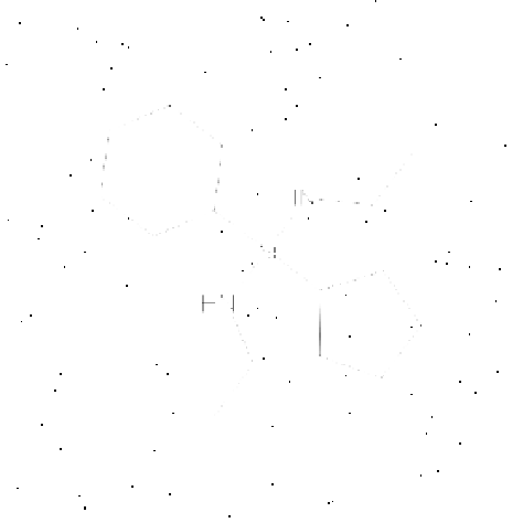 CCN[Si](NCC)(C1CCCCC1)C1CCCC1